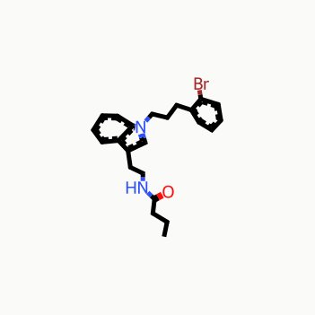 CCCC(=O)NCCc1cn(CCCc2ccccc2Br)c2ccccc12